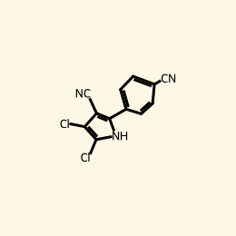 N#Cc1ccc(-c2[nH]c(Cl)c(Cl)c2C#N)cc1